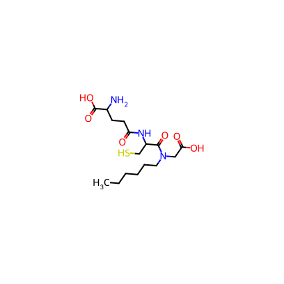 CCCCCCN(CC(=O)O)C(=O)C(CS)NC(=O)CCC(N)C(=O)O